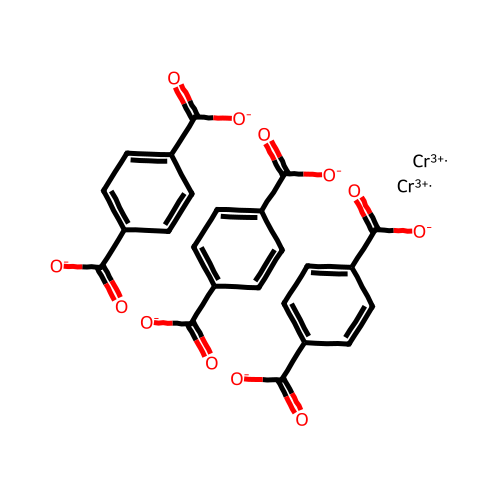 O=C([O-])c1ccc(C(=O)[O-])cc1.O=C([O-])c1ccc(C(=O)[O-])cc1.O=C([O-])c1ccc(C(=O)[O-])cc1.[Cr+3].[Cr+3]